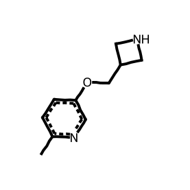 Cc1ccc(OCC2CNC2)cn1